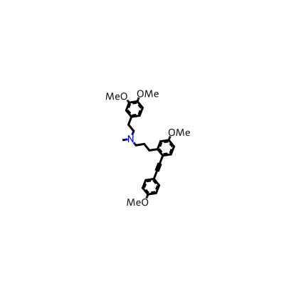 COc1ccc(C#Cc2ccc(OC)cc2CCCN(C)CCc2ccc(OC)c(OC)c2)cc1